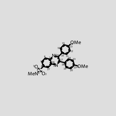 CNS(=O)(=O)c1ccc2nc(-c3ccc(OC)cc3)c(-c3ccc(OC)cc3)nc2c1